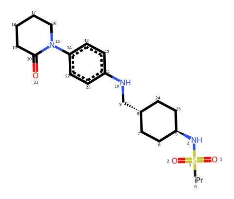 CC(C)S(=O)(=O)N[C@H]1CC[C@H](CNc2ccc(N3CCCCC3=O)cc2)CC1